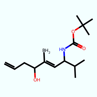 B/C(=C\C(NC(=O)OC(C)(C)C)C(C)C)C(O)CC=C